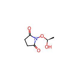 C[C@@H](O)ON1C(=O)CCC1=O